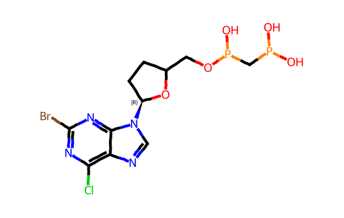 OP(O)CP(O)OCC1CC[C@H](n2cnc3c(Cl)nc(Br)nc32)O1